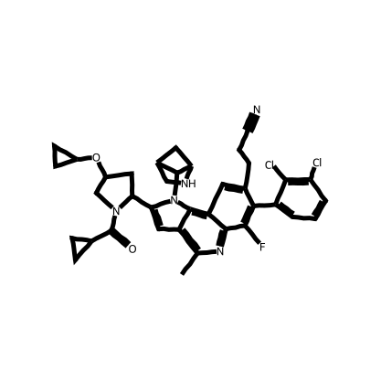 Cc1nc2c(F)c(-c3cccc(Cl)c3Cl)c(CCC#N)cc2c2c1cc(C1CC(OC3CC3)CN1C(=O)C1CC1)n2C1C2CNC1C2